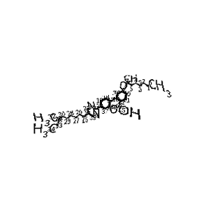 CCCCCC[C@@H](C)Oc1ccc(C(=O)O)c(-c2ccc(-c3ncc(CCCCCC[C@@H](C)CC)cn3)cc2)c1